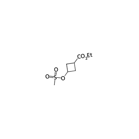 CCOC(=O)C1CC(OS(C)(=O)=O)C1